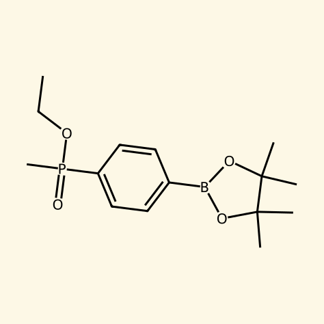 CCOP(C)(=O)c1ccc(B2OC(C)(C)C(C)(C)O2)cc1